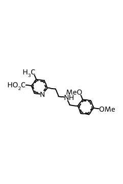 COc1ccc(CNCCc2cc(C)c(C(=O)O)cn2)c(OC)c1